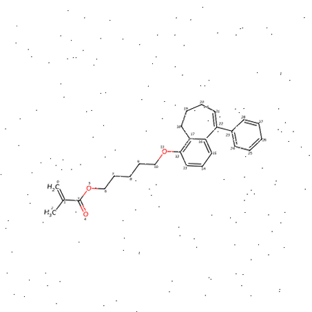 C=C(C)C(=O)OCCCCCOc1cccc2c1CCCC=C2c1ccccc1